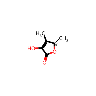 CC1=C(O)C(=O)O[C@H]1C